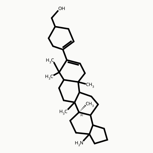 CC1(C)C(C2=CCC(CO)CC2)=CCC2(C)C1CCC1(C)C2CCC2C3CCCC3(N)CC[C@]21C